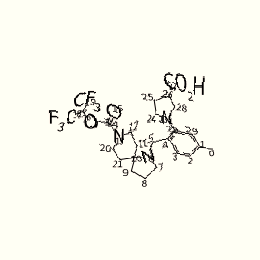 Cc1ccc(CN2CCCC23CCN(C(=O)OC(C(F)(F)F)C(F)(F)F)CC3)c(N2CCC(C(=O)O)C2)c1